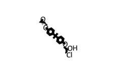 CC(C)(c1ccc(OC[C@H](O)CCl)cc1)c1ccc(OC[C@H]2CO2)cc1